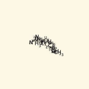 C[C@H]1CC[C@]23C4CC[C@@]5(C)C(CC[C@@H]5C(=O)Cn5cc(C#N)cn5)[C@@H]4CC[C@@]2(C1)[C@H]3C